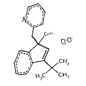 CC(C)(C)C1=C[C]([Cr+2])(Cc2ccccn2)c2ccccc21.[Cl-].[Cl-]